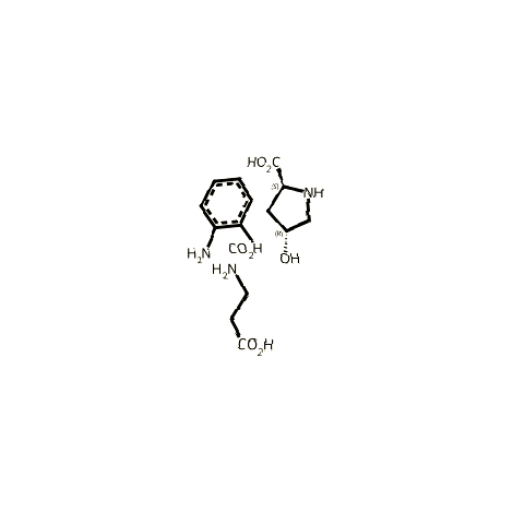 NCCC(=O)O.Nc1ccccc1C(=O)O.O=C(O)[C@@H]1C[C@@H](O)CN1